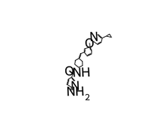 Nc1ccc(C(=O)NC2CCC(=Cc3cccc(Oc4ccc(C5CC5)cn4)c3)CC2)cn1